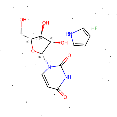 F.O=c1ccn([C@@H]2O[C@H](CO)[C@@H](O)[C@H]2O)c(=O)[nH]1.c1cc[nH]c1